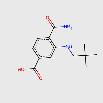 CC(C)(C)CNc1cc(C(=O)O)ccc1C(N)=O